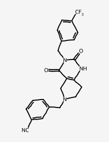 N#Cc1cccc(CN2CCc3[nH]c(=O)n(Cc4ccc(C(F)(F)F)cc4)c(=O)c3C2)c1